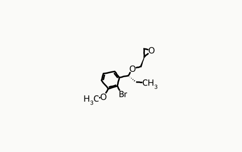 CC[C@@H](OC[C@H]1CO1)c1cccc(OC)c1Br